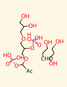 CC(=O)C(OCC(COCC(O)CO)OP(=O)(O)O)OP(=O)(O)O.O=CCCO.OCCCO